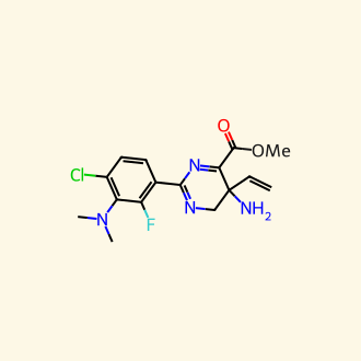 C=CC1(N)CN=C(c2ccc(Cl)c(N(C)C)c2F)N=C1C(=O)OC